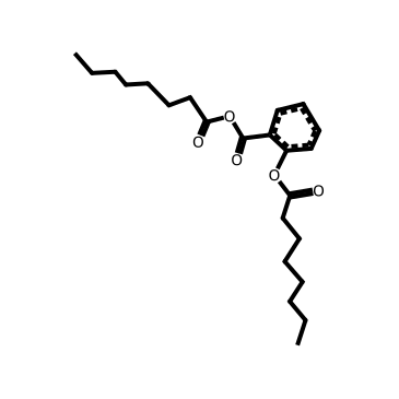 CCCCCCCC(=O)OC(=O)c1ccccc1OC(=O)CCCCCCC